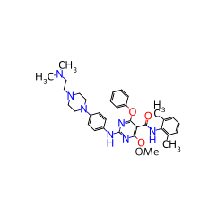 COOc1nc(Nc2ccc(N3CCN(CCN(C)C)CC3)cc2)nc(Oc2ccccc2)c1C(=O)Nc1c(C)cccc1C